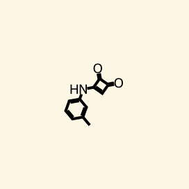 Cc1cccc(Nc2cc(=O)c2=O)c1